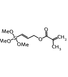 C=C(C)C(=O)OCC=C[Si](OC)(OC)OC